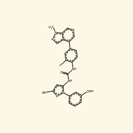 COc1cccc(-n2nc(C(C)(C)C)cc2NC(=O)Nc2ccc(-c3cncc4c3cnn4C)cc2F)c1